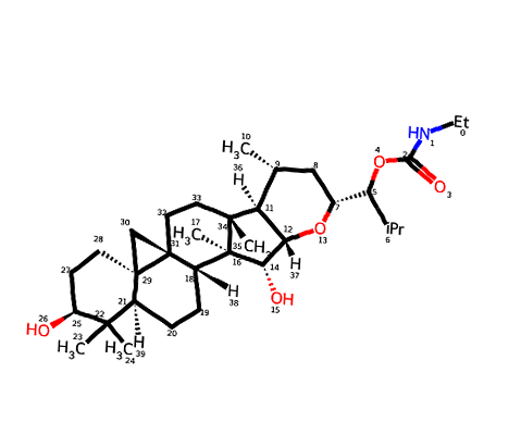 CCNC(=O)OC(C(C)C)[C@H]1C[C@@H](C)[C@H]2[C@H](O1)[C@H](O)[C@@]1(C)[C@@H]3CC[C@H]4C(C)(C)[C@@H](O)CC[C@@]45C[C@@]35CC[C@]21C